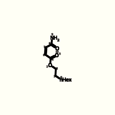 CCCCCCCCOC(=O)/C=C\C(N)=O